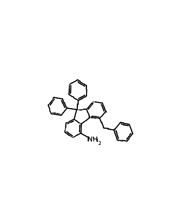 Nc1cccc2c1-c1c(Cc3ccccc3)cccc1C2(c1ccccc1)c1ccccc1